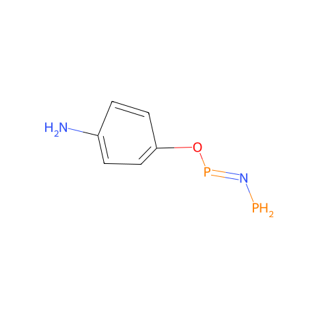 Nc1ccc(OP=NP)cc1